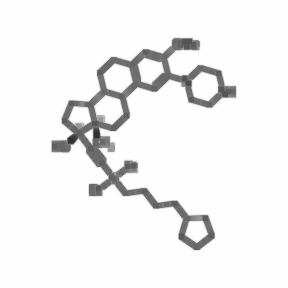 CC[Si](C#C[C@]1(O)CCC2C3CCc4cc(OC)c(N5CCNCC5)cc4C3CC[C@@]21C)(CC)CCCCC1CCCC1